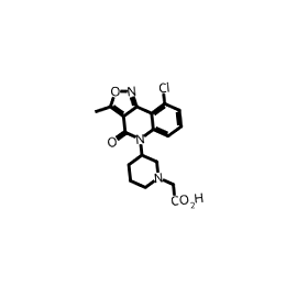 Cc1onc2c1c(=O)n(C1CCCN(CC(=O)O)C1)c1cccc(Cl)c21